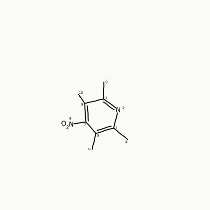 Cc1nc(C)c(C)c([N+](=O)[O-])c1C